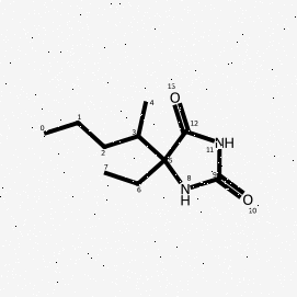 CCCC(C)C1(CC)NC(=O)NC1=O